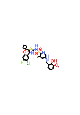 COc1cccc(CNc2cnc(S(=O)(=O)Nc3nc(-c4ccc(F)c(Cl)c4)c(C4(O)CCC4)s3)c(C)c2)c1O